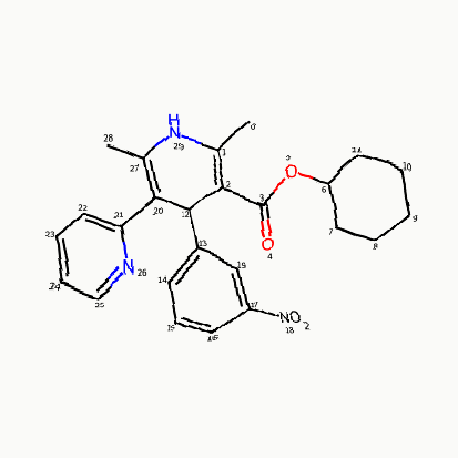 CC1=C(C(=O)OC2CCCCC2)C(c2cccc([N+](=O)[O-])c2)C(c2ccccn2)=C(C)N1